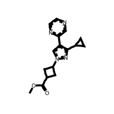 COC(=O)C1CC(n2cc(-c3cnccn3)c(C3CC3)n2)C1